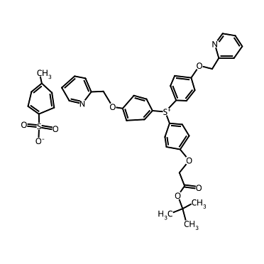 CC(C)(C)OC(=O)COc1ccc([S+](c2ccc(OCc3ccccn3)cc2)c2ccc(OCc3ccccn3)cc2)cc1.Cc1ccc(S(=O)(=O)[O-])cc1